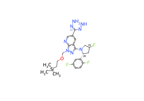 C[Si](C)(C)CCOCn1nc(N2C[C@@H](F)C[C@@H]2c2cc(F)ccc2F)c2cc(/C(N=N)=N/N)cnc21